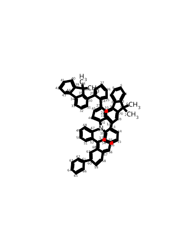 CC1(C)c2ccccc2-c2ccc(-c3ccccc3N(c3ccc(-c4ccccc4-c4cccc5c4C(C)(C)c4ccccc4-5)cc3)c3ccccc3-c3cccc4ccc(-c5ccccc5)cc34)cc21